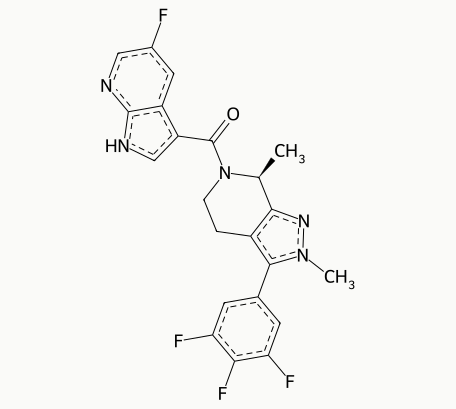 C[C@H]1c2nn(C)c(-c3cc(F)c(F)c(F)c3)c2CCN1C(=O)c1c[nH]c2ncc(F)cc12